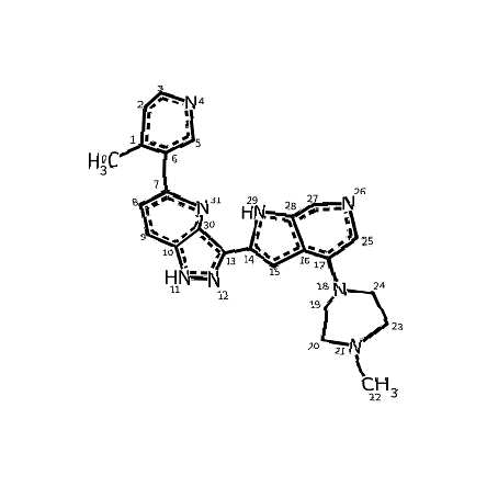 Cc1ccncc1-c1ccc2[nH]nc(-c3cc4c(N5CCN(C)CC5)cncc4[nH]3)c2n1